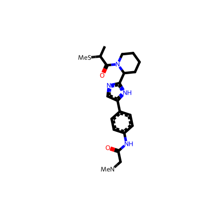 CNCC(=O)Nc1ccc(-c2cnc(C3CCCCN3C(=O)C(C)SC)[nH]2)cc1